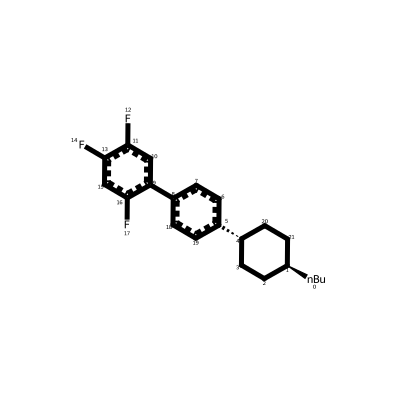 CCCC[C@H]1CC[C@H](c2ccc(-c3cc(F)c(F)cc3F)cc2)CC1